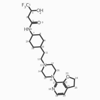 O=C(CC(O)C(F)(F)F)NC1CCC(CCN2CCN(c3nccc4c3OCC4)CC2)CC1